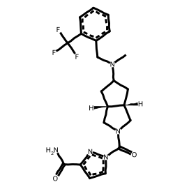 CN(Cc1ccccc1C(F)(F)F)C1C[C@@H]2CN(C(=O)n3ccc(C(N)=O)n3)C[C@@H]2C1